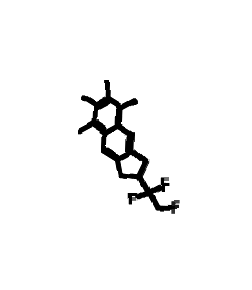 Cc1c(C)c(C)c2cc3c(cc2c1C)CC(C(F)(F)CF)C3